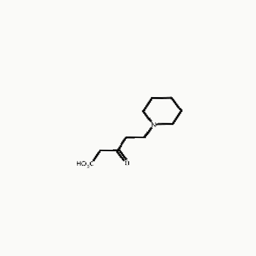 O=C(O)CC(=O)CCN1CCCCC1